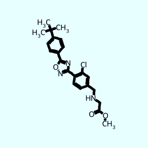 COC(=O)CNCc1ccc(-c2noc(-c3ccc(C(C)(C)C)cc3)n2)c(Cl)c1